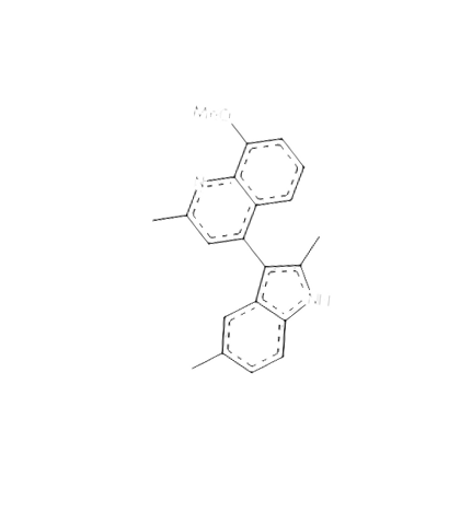 COc1cccc2c(-c3c(C)[nH]c4ccc(C)cc34)cc(C)nc12